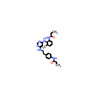 C=CC(=O)Nc1ccc(CCNc2cc(Nc3c(C)cccc3NC(=O)C=C)ncn2)cc1